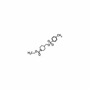 CCOC(=O)N1CCC(COS(=O)(=O)c2ccc(C)cc2)CC1